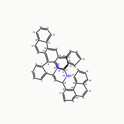 C1=C(c2ccccc2-c2c3ccccc3cc3c2ccc2ccccc23)NC(c2ccccc2)NC1c1cccc2ccc3ccccc3c12